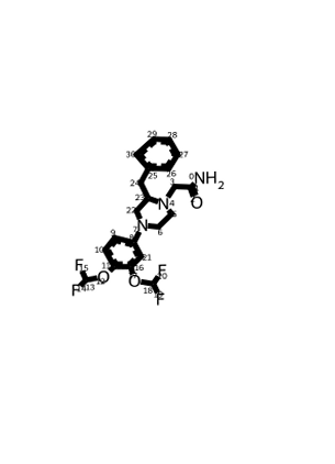 NC(=O)CN1CCN(c2ccc(OC(F)F)c(OC(F)F)c2)CC1Cc1ccccc1